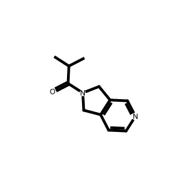 CC(C)C(=O)N1Cc2ccncc2C1